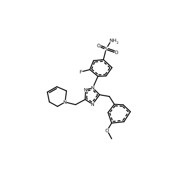 COc1cccc(Cc2nc(CN3CC=CCC3)nn2-c2ccc(S(N)(=O)=O)cc2F)c1